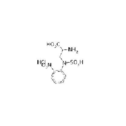 Cl.NC(CN(c1ccccc1[N+](=O)[O-])S(=O)(=O)O)C(=O)O